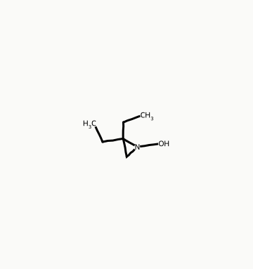 CCC1(CC)CN1O